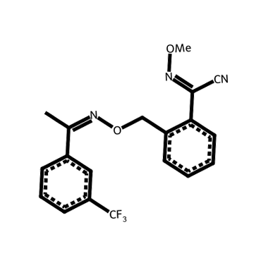 CON=C(C#N)c1ccccc1CON=C(C)c1cccc(C(F)(F)F)c1